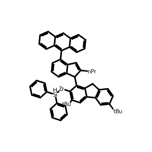 CCCC1=Cc2c(-c3c4ccccc4cc4ccccc34)cccc2C1c1c2c(cc(C(C)(C)C)[c]1[Zr][SiH](c1ccccc1)c1ccccc1)-c1cc(C(C)(C)C)ccc1C2